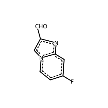 O=Cc1cn2ccc(F)cc2n1